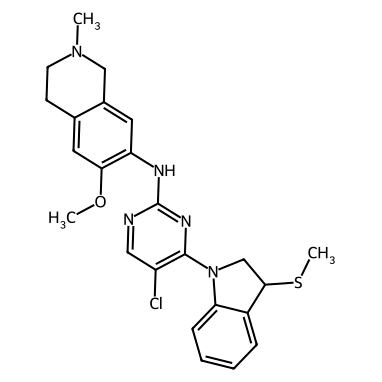 COc1cc2c(cc1Nc1ncc(Cl)c(N3CC(SC)c4ccccc43)n1)CN(C)CC2